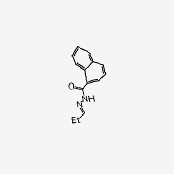 CCC=NNC(=O)c1cccc2ccccc12